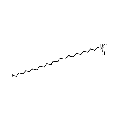 Cl[SiH](Cl)CCCCCCCCCCCCCCCCCCCCCCCCI